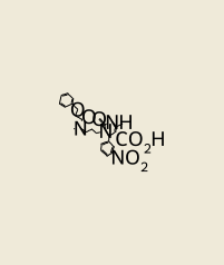 CC1=C(C(=O)O)C(c2cccc([N+](=O)[O-])c2)N(CCCN(C)C(=O)COc2ccccc2)C(=O)N1